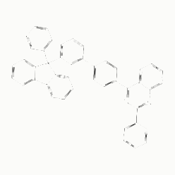 c1ccc(-c2nc(-c3ccc(-c4cccc(C5(c6ccccc6)c6ccccc6-c6ccccc65)c4)cc3)c3ccccc3n2)cc1